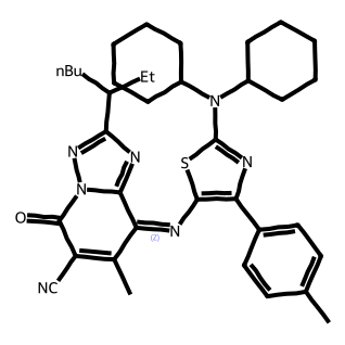 CCCCC(CC)c1nc2n(n1)C(=O)C(C#N)=C(C)/C2=N/c1sc(N(C2CCCCC2)C2CCCCC2)nc1-c1ccc(C)cc1